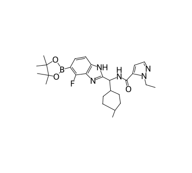 CCn1nccc1C(=O)NC(c1nc2c(F)c(B3OC(C)(C)C(C)(C)O3)ccc2[nH]1)C1CCC(C)CC1